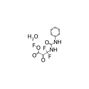 O.O=C(Nc1ccccc1)NC(F)(F)C(=O)C(=O)OF